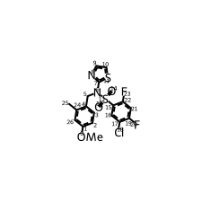 COc1ccc(CN(c2nccs2)S(=O)(=O)c2cc(Cl)c(F)cc2F)c(C)c1